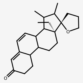 CC[C@]12CCC3C4CCC(=O)C=C4C=CC3C1C(C)C(C)[C@@]21CCCO1